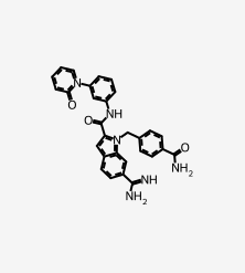 N=C(N)c1ccc2cc(C(=O)Nc3cccc(-n4ccccc4=O)c3)n(Cc3ccc(C(N)=O)cc3)c2c1